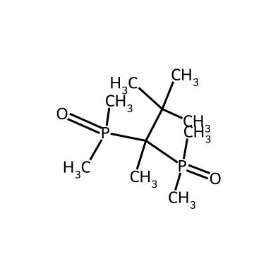 CC(C)(C)C(C)(P(C)(C)=O)P(C)(C)=O